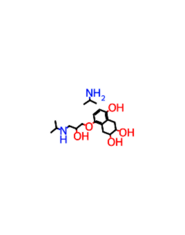 CC(C)N.CC(C)NCC(O)COc1ccc(O)c2c1C[C@H](O)[C@H](O)C2